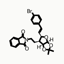 CC1(C)O[C@@H]2O[C@H](C=Cc3ccc(Br)cc3)[C@H](CCN3C(=O)c4ccccc4C3=O)[C@@H]2O1